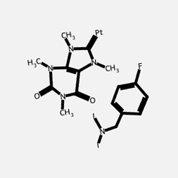 Cn1c(=O)c2c(n(C)c1=O)n(C)[c](=[Pt])n2C.Fc1ccc(CN(I)I)cc1